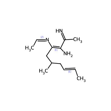 C/C=N\C(CC(C)C/C=C/C)=C(\N)C(C)=N